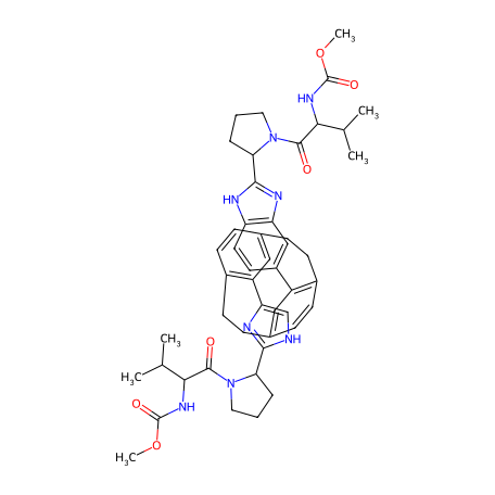 COC(=O)NC(C(=O)N1CCCC1c1nc(-c2cc3ccc2CCc2ccc(c(-c4ccc5[nH]c(C6CCCN6C(=O)C(NC(=O)OC)C(C)C)nc5c4)c2)CC3)c[nH]1)C(C)C